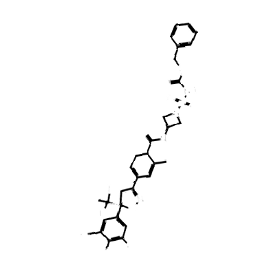 CC1=CC(C2=NO[C@@](c3cc(Cl)c(F)c(Cl)c3)(C(F)(F)F)C2)=CCC1C(=O)NC1CN(S(=O)(=O)NC(=O)OCc2ccccc2)C1